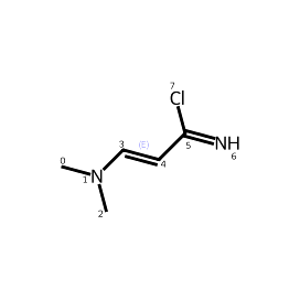 CN(C)/C=C/C(=N)Cl